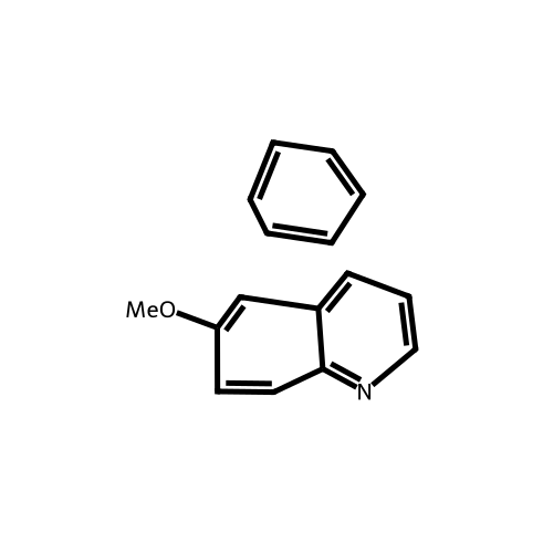 COc1ccc2ncccc2c1.c1ccccc1